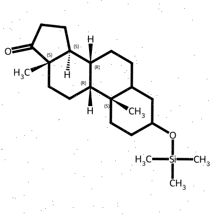 C[C@]12CCC(O[Si](C)(C)C)CC1CC[C@@H]1[C@H]2CC[C@]2(C)C(=O)CC[C@@H]12